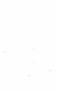 COC(=O)c1ccc2c(c1)C(SCCN1CCc3cc(OC)c(OC)cc3C1)c1ccccc1CO2